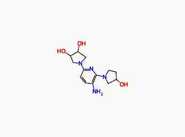 Nc1ccc(N2CC(O)C(O)C2)nc1N1CCC(O)C1